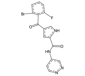 O=C(Nc1ccnnc1)c1cc(C(=O)c2c(F)cccc2Br)c[nH]1